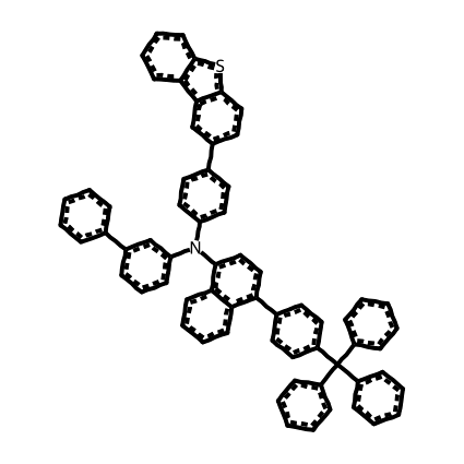 c1ccc(-c2cccc(N(c3ccc(-c4ccc5sc6ccccc6c5c4)cc3)c3ccc(-c4ccc(C(c5ccccc5)(c5ccccc5)c5ccccc5)cc4)c4ccccc34)c2)cc1